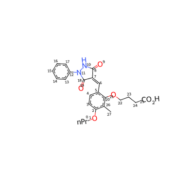 CCCOc1ccc(C=C2C(=O)NN(c3ccccc3)C2=O)c(OCCCC(=O)O)c1C